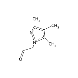 Cc1nn(CC=O)c(C)c1C